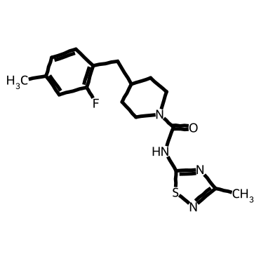 Cc1ccc(CC2CCN(C(=O)Nc3nc(C)ns3)CC2)c(F)c1